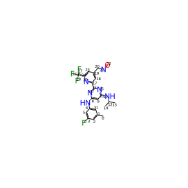 Cc1cc(F)cc(Nc2cc(NC(C)C)nc(-c3cc(CN=O)cc(C(F)(F)F)n3)n2)c1